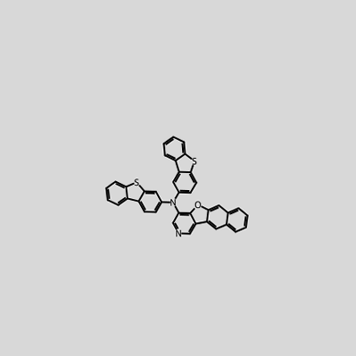 c1ccc2cc3c(cc2c1)oc1c(N(c2ccc4c(c2)sc2ccccc24)c2ccc4sc5ccccc5c4c2)cncc13